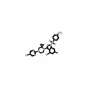 Cc1ccc(S(=O)(=O)n2nc(N3CCN(c4ncc(Cl)cn4)CC34CC4)c3c(Cl)cc(F)cc32)cc1